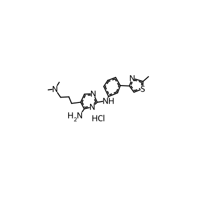 Cc1nc(-c2cccc(Nc3ncc(CCCN(C)C)c(N)n3)c2)cs1.Cl